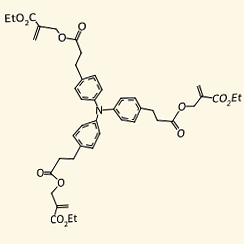 C=C(COC(=O)CCc1ccc(N(c2ccc(CCC(=O)OCC(=C)C(=O)OCC)cc2)c2ccc(CCC(=O)OCC(=C)C(=O)OCC)cc2)cc1)C(=O)OCC